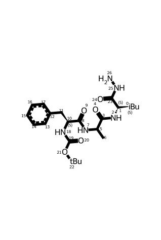 CC[C@H](C)[C@H](NC(=O)C(C)NC(=O)[C@H](Cc1ccccc1)NC(=O)OC(C)(C)C)C(=O)NN